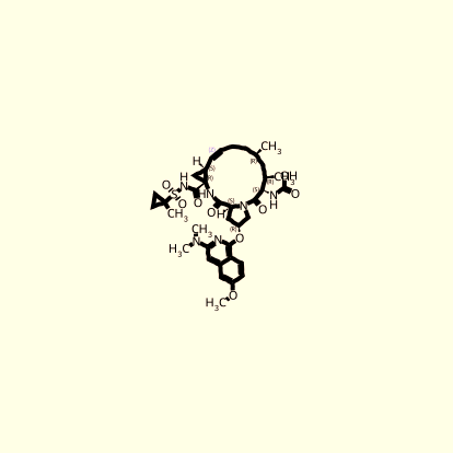 COc1ccc2c(O[C@@H]3C[C@H]4C(=O)N[C@]5(C(=O)NS(=O)(=O)C6(C)CC6)C[C@H]5/C=C\CC[C@@H](C)C[C@@H](C)[C@H](NC(=O)O)C(=O)N4C3)nc(N(C)C)cc2c1